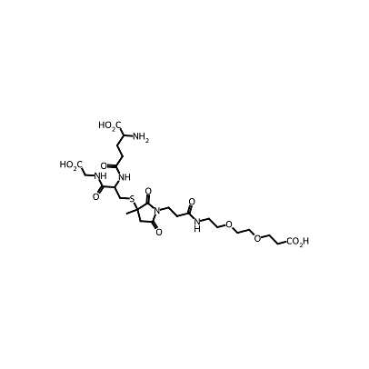 CC1(SCC(NC(=O)CCC(N)C(=O)O)C(=O)NCC(=O)O)CC(=O)N(CCC(=O)NCCOCCOCCC(=O)O)C1=O